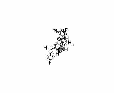 C[C@@H](CCc1ccc(F)cc1)C1CCc2c(cn(C)c2C(=O)Nc2cc(F)nc(C#N)c2)S(=N)(=O)N1